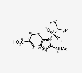 CCCN(C(C)C)S(=O)(=O)n1c(NC(C)=O)nc2c1CCC(C(=O)O)=C2